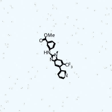 COC(=O)c1cccc(Nc2nc3cc(-c4cccnc4)c(C(F)(F)F)cc3n2C)c1